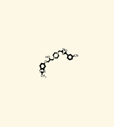 Cc1nc2cc(OCC(O)CN3CCN(Cc4noc(-c5cccc(C#N)c5)n4)CC3)ccc2s1